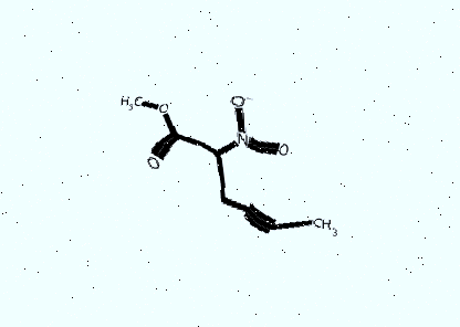 CC#CCC(C(=O)OC)[N+](=O)[O-]